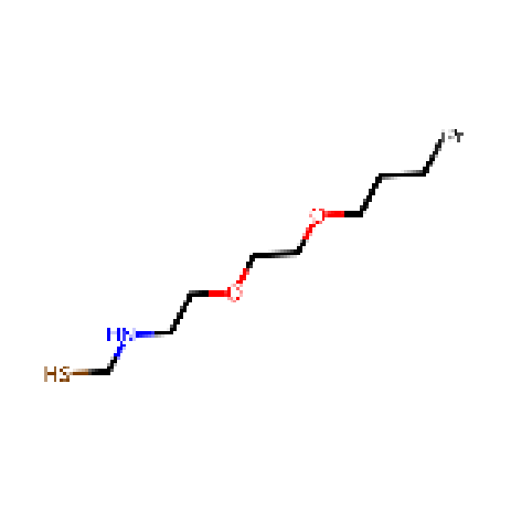 CC(C)CCCOCCOCCNCS